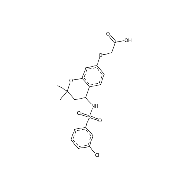 CC1(C)CC(NS(=O)(=O)c2cccc(Cl)c2)c2ccc(OCC(=O)O)cc2O1